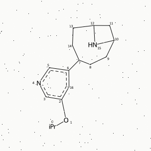 CC(C)Oc1cncc(C2CCC3CC(CC2)N3)c1